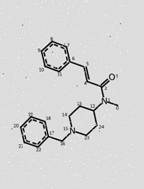 CN(C(=O)/C=C/c1ccccc1)C1CCN(Cc2ccccc2)CC1